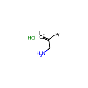 C=C(CN)C(C)C.Cl